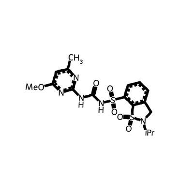 COc1cc(C)nc(NC(=O)NS(=O)(=O)c2cccc3c2S(=O)(=O)N(C(C)C)C3)n1